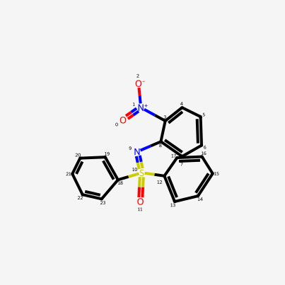 O=[N+]([O-])c1ccccc1N=S(=O)(c1ccccc1)c1ccccc1